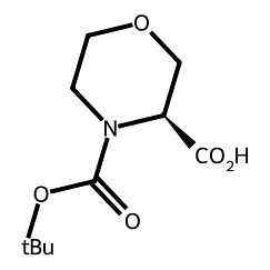 CC(C)(C)OC(=O)N1CCOC[C@H]1C(=O)O